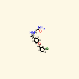 NC(=O)CCN[C@H]1CC1c1ccc(OCc2cccc(Br)c2)cc1